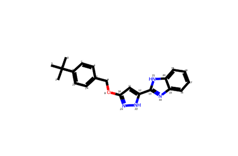 CC(C)(C)c1ccc(COc2cc(-c3nc4ccccc4[nH]3)[nH]n2)cc1